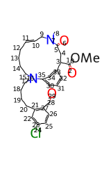 COC(=O)C1CC(=O)N(C)C/C=C/CCCCN2CCCCc3cc(Cl)ccc3COc3ccc1cc32